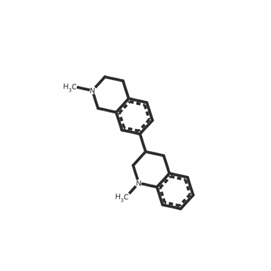 CN1CCc2ccc(C3Cc4ccccc4N(C)C3)cc2C1